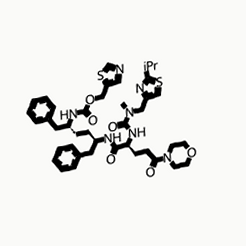 CC(C)c1nc(CN(C)C(=O)N[C@@H](CCC(=O)N2CCOCC2)C(=O)N[C@H](CC[C@H](Cc2ccccc2)NC(=O)OCc2cncs2)Cc2ccccc2)cs1